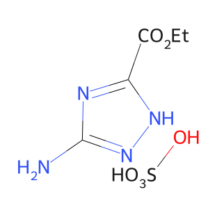 CCOC(=O)c1nc(N)n[nH]1.O=S(=O)(O)O